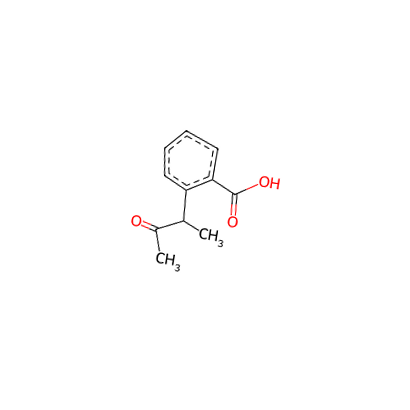 CC(=O)C(C)c1ccccc1C(=O)O